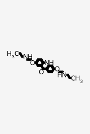 CCCNCCOc1ccc2c(=O)c3cc(OCCNCCC)ccc3[nH]c2c1